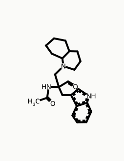 CC(=O)NC(C=O)(Cc1c[nH]c2ccccc12)CN1CCCC2CCCCC21